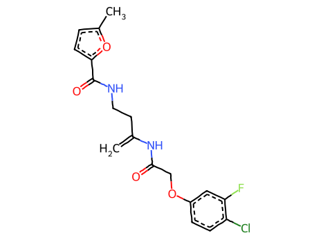 C=C(CCNC(=O)c1ccc(C)o1)NC(=O)COc1ccc(Cl)c(F)c1